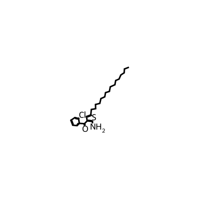 CCCCCCCCCCCCCCCCc1cc(C(=O)c2ccccc2Cl)c(N)s1